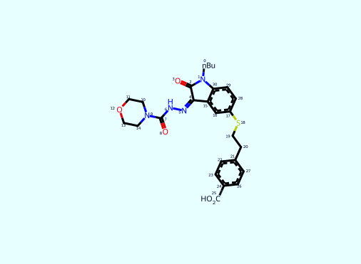 CCCCN1C(=O)/C(=N\NC(=O)N2CCOCC2)c2cc(SCCc3ccc(C(=O)O)cc3)ccc21